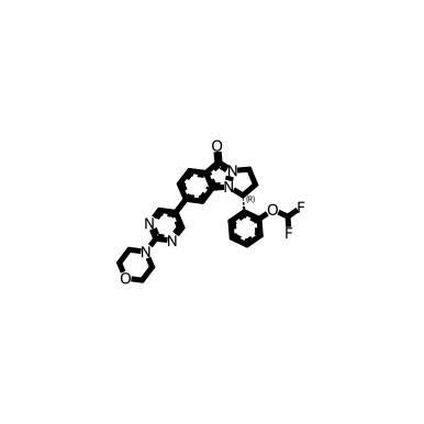 O=c1c2ccc(-c3cnc(N4CCOCC4)nc3)cc2n2n1CC[C@@H]2c1ccccc1OC(F)F